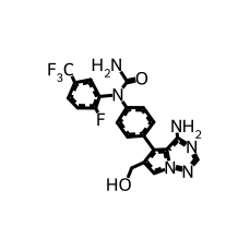 NC(=O)N(c1ccc(-c2c(CO)cn3ncnc(N)c23)cc1)c1cc(C(F)(F)F)ccc1F